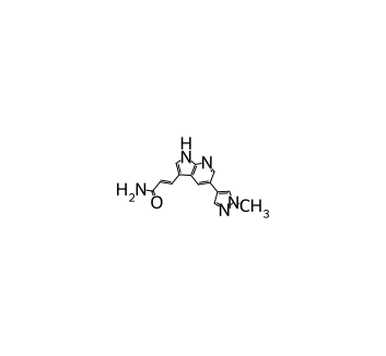 Cn1cc(-c2cnc3[nH]cc(C=CC(N)=O)c3c2)cn1